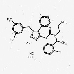 CC(c1ccccc1Cl)N(CCN)C(=O)Oc1nnn(Cc2cc(C(F)(F)F)cc(C(F)(F)F)c2)c1-c1ccncc1.Cl.Cl